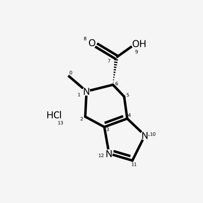 CN1CC2=C(C[C@H]1C(=O)O)[N]C=N2.Cl